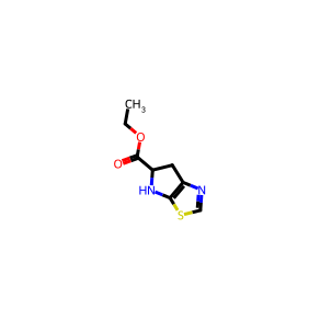 CCOC(=O)C1Cc2ncsc2N1